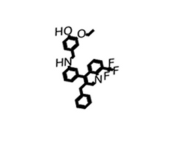 CCOc1cc(CNc2cccc(-c3c(Cc4ccccc4)cnc4c(C(F)(F)F)cccc34)c2)ccc1O